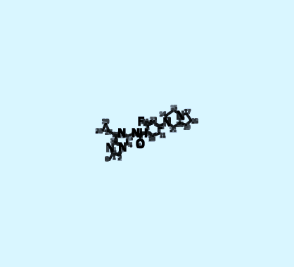 Cc1cn2cc(NC(=O)c3ccc(N4CCN5CCCC5C4)cc3F)nc(C3CC3)c2n1